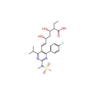 CCC(C(=O)O)[C@H](O)C[C@H](O)C=Cc1c(-c2ccc(F)cc2)nc(N(C)S(C)(=O)=O)nc1C(C)C